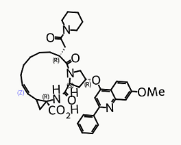 COc1ccc2c(O[C@@H]3C[C@H]4C(=O)N[C@]5(C(=O)O)CC5/C=C\CCCCC[C@H](CC(=O)N5CCCCC5)C(=O)N4C3)cc(-c3ccccc3)nc2c1